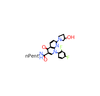 CCCCCNC(=O)c1cn(-c2ccc(F)cc2F)c2nc(N3CC[C@@H](O)C3)ccc2c1=O